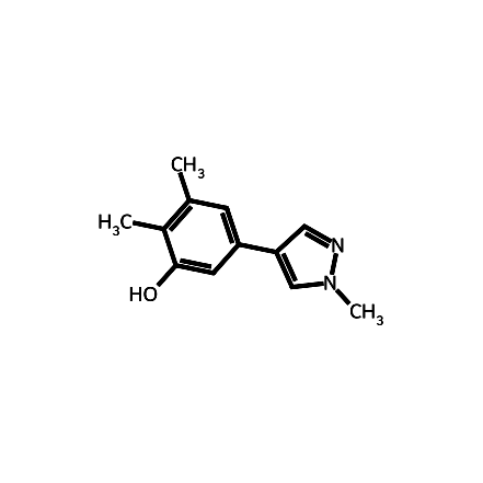 Cc1cc(-c2cnn(C)c2)cc(O)c1C